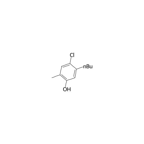 CCCCc1cc(O)c(C)cc1Cl